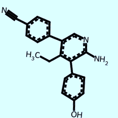 CCc1c(-c2ccc(C#N)cc2)cnc(N)c1-c1ccc(O)cc1